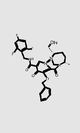 C[C@H]1CC[C@@H](CO)N2CN1C(=O)c1c(OCc3ccccc3)c(=O)c(C(=O)NCc3c(F)cc(F)cc3F)cn12